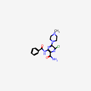 CN1CCN(c2nc(NC(=O)c3ccccc3)c(C(N)=O)nc2Cl)CC1